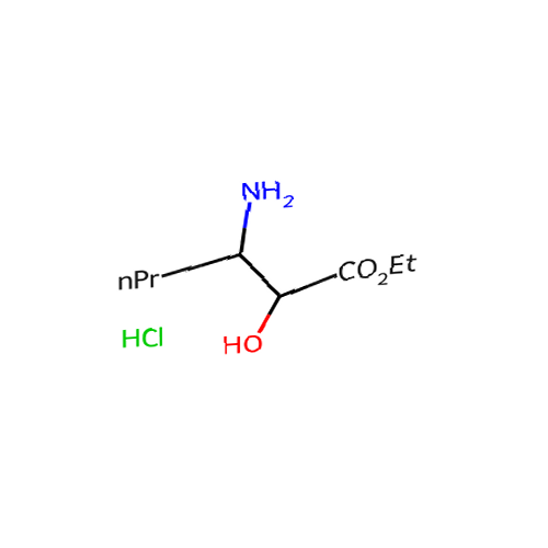 CCCC(N)C(O)C(=O)OCC.Cl